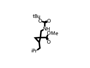 COC(=O)C1(CNC(=O)OC(C)(C)C)CC1CC(C)C